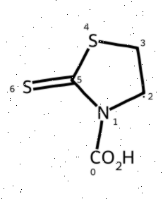 O=C(O)N1[CH]CSC1=S